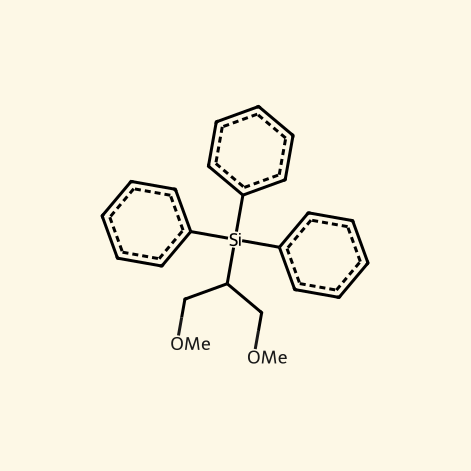 COCC(COC)[Si](c1ccccc1)(c1ccccc1)c1ccccc1